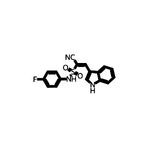 N#CC(=Cc1c[nH]c2ccccc12)S(=O)(=O)Nc1ccc(F)cc1